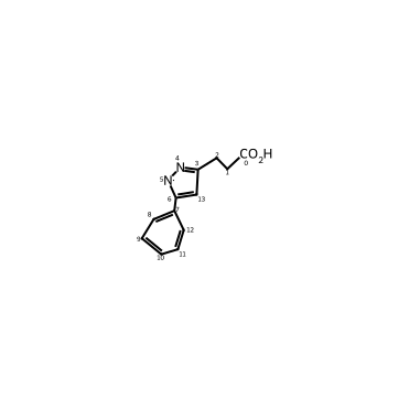 O=C(O)CCC1=N[N]C(c2ccccc2)=C1